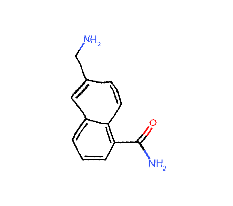 NCc1ccc2c(C(N)=O)cccc2c1